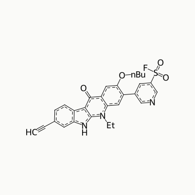 C#Cc1ccc2c(c1)[nH]c1c2c(=O)c2cc(OCCCC)c(-c3cncc(S(=O)(=O)F)c3)cc2n1CC